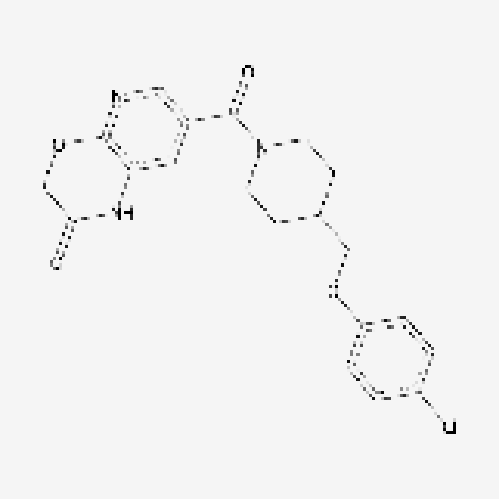 O=C1COc2ncc(C(=O)N3CCC(COc4ccc(Cl)cc4)CC3)cc2N1